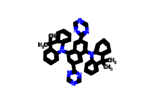 CC1(C)c2ccccc2N(c2cc(-c3ncncn3)cc3c(N4c5ccccc5C(C)(C)c5ccccc54)cc(-c4ncncn4)cc23)c2ccccc21